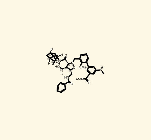 CNC(=O)c1cc(-c2cccc(CN3O[C@@H](CNC(=O)c4ccccc4)[C@@H]([C@H](C)O)[C@H]3C(=O)N[C@H]3C[C@H]4C[C@@H]([C@@H]3C)C4(C)C)c2OC)cc(N(C)C)c1